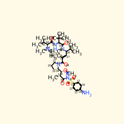 CO[C@H]([C@@H](C)C(=O)NS(=O)(=O)c1ccc(N)cc1)[C@@H]1CCCN1C(=O)/C(C)=C/C(C(C)C)N(C)C(=O)[C@@H](NC(=O)C(C(C)C)N(C)C)C(C)(C)C